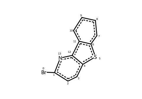 Brc1ccc2sc3ccccc3c2n1